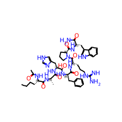 CCCC[C@H](NC(C)=O)C(=O)N[C@@H](C)C(=O)N[C@@H](Cc1c[nH]cn1)C(O)N[C@H](Cc1ccccc1)C(=O)N[C@@H](CCCNC(=N)N)C(=O)N1CCC[C@H]1C(=O)N[C@@H](Cc1c[nH]c2ccccc12)C(N)=O